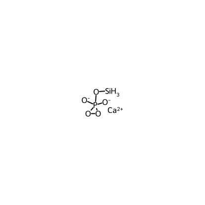 [Ca+2].[O-]P1([O-])(O[SiH3])OO1